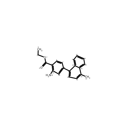 CCOC(=O)c1ccc(-c2ccc(C)c3ccccc23)cc1N